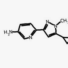 Cn1nc(-c2ccc(N)cn2)cc1C1CC1